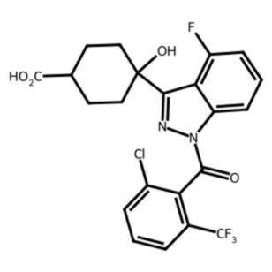 O=C(O)C1CCC(O)(c2nn(C(=O)c3c(Cl)cccc3C(F)(F)F)c3cccc(F)c23)CC1